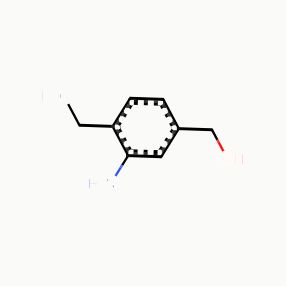 CCc1ccc(CO)cc1N